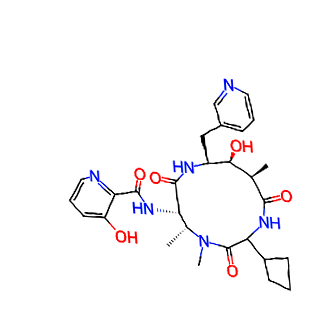 C[C@@H]1[C@H](NC(=O)c2ncccc2O)C(=O)N[C@@H](Cc2cccnc2)[C@@H](O)[C@@H](C)C(=O)NC(C2CCC2)C(=O)N1C